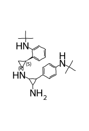 CC(C)(C)Nc1ccc(C2C(N)C2N[C@@H]2C[C@H]2c2ccccc2NC(C)(C)C)cc1